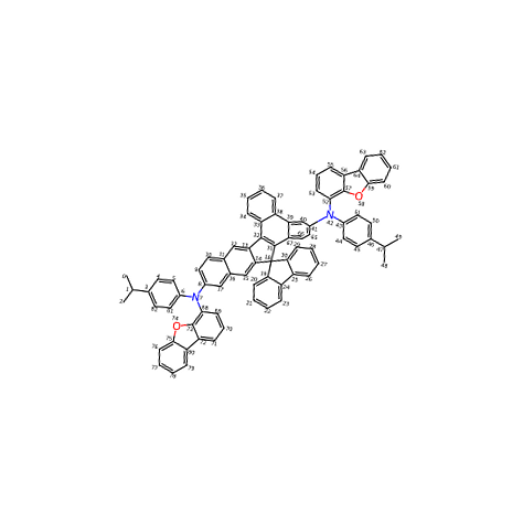 CC(C)c1ccc(N(c2ccc3cc4c(cc3c2)C2(c3ccccc3-c3ccccc32)c2c-4c3ccccc3c3cc(N(c4ccc(C(C)C)cc4)c4cccc5c4oc4ccccc45)ccc23)c2cccc3c2oc2ccccc23)cc1